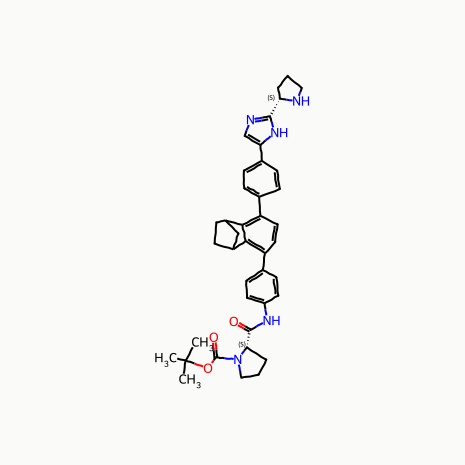 CC(C)(C)OC(=O)N1CCC[C@H]1C(=O)Nc1ccc(-c2ccc(-c3ccc(-c4cnc([C@@H]5CCCN5)[nH]4)cc3)c3c2C2CCC3C2)cc1